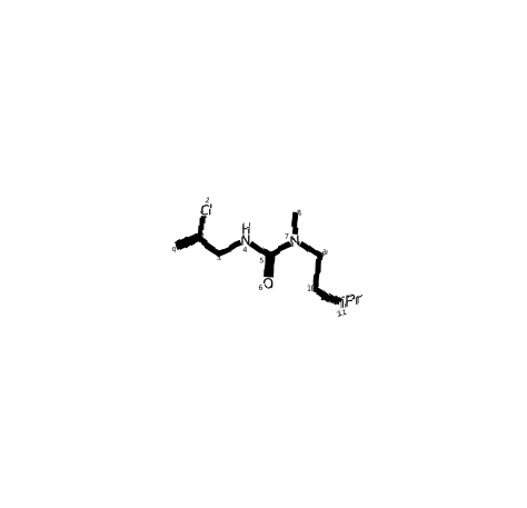 C=C(Cl)CNC(=O)N(C)CCC(C)C